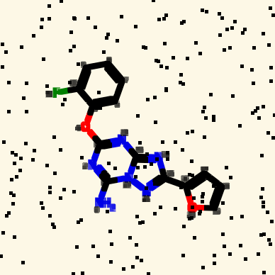 Nc1nc(Oc2ccccc2F)nc2nc(-c3ccco3)nn12